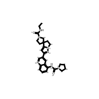 CCNC(=O)N1CCC2(CCn3nc(-c4cnc5cccc(NC(=O)N6CCCC6)c5c4)cc32)C1